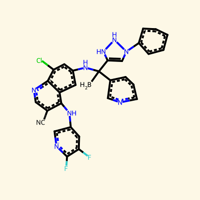 BC(Nc1cc(Cl)c2ncc(C#N)c(Nc3cnc(F)c(F)c3)c2c1)(C1=CN(c2ccccc2)NN1)c1cccnc1